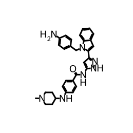 CN1CCC(Nc2ccc(C(=O)Nc3cc(-c4cc5ccccc5n4Cc4ccc(N)cc4)n[nH]3)cc2)CC1